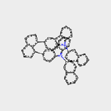 c1ccc2cc(-n3c4ccccc4c4cc(-c5cccc6cccc(-c7ccc8c(c7)c7ccccc7n8-c7ccc8ccccc8c7)c56)ccc43)ccc2c1